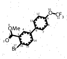 COC(=O)c1cc(-c2ccc(OC(F)(F)F)cc2)ccc1Br